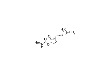 CCCCCCNC(=O)O[C@H]1CCN(CC#CCN(C)C)C1=O